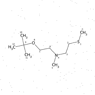 CSCCN(C)CCOC(C)(C)C